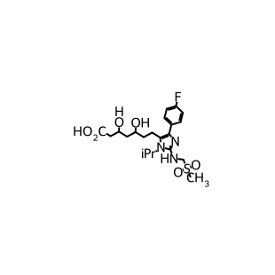 CC(C)n1c(NCS(C)(=O)=O)nc(-c2ccc(F)cc2)c1CCC(O)CC(O)CC(=O)O